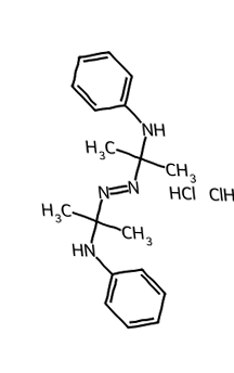 CC(C)(N=NC(C)(C)Nc1ccccc1)Nc1ccccc1.Cl.Cl